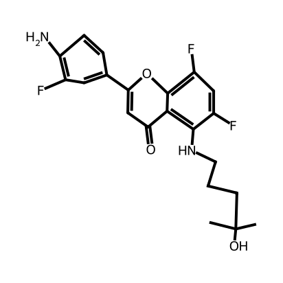 CC(C)(O)CCCNc1c(F)cc(F)c2oc(-c3ccc(N)c(F)c3)cc(=O)c12